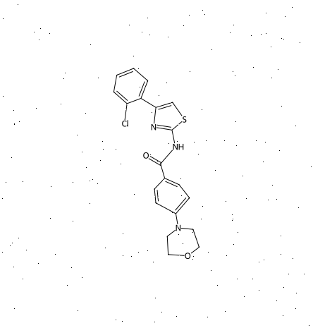 O=C(Nc1nc(-c2ccccc2Cl)cs1)c1ccc(N2CCOCC2)cc1